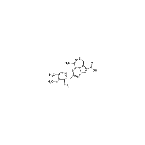 COc1c(C)cnc(Cn2nc3cc(C(=O)O)c4c-3c(n2)C(N)=NSC4)c1C